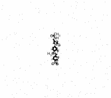 CC(=O)NCC1CN(c2ccc(N(C)Cc3ccc([N+](=O)[O-])cn3)c(F)c2)C(=O)O1